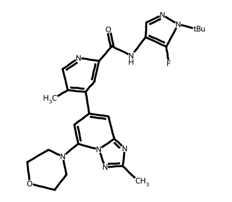 Cc1nc2cc(-c3cc(C(=O)Nc4cnn(C(C)(C)C)c4F)ncc3C)cc(N3CCOCC3)n2n1